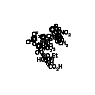 CCOC(=O)COC(=O)c1cc(Oc2ccc(C(F)(F)F)cc2Cl)ccc1[N+](=O)[O-].CCc1cccc(C)c1N(C(=O)CCl)C(C)COC.CS(=O)(=O)c1ccc(C(=O)C2C(=O)CCCC2=O)c([N+](=O)[O-])c1.O=C(O)CNCP(=O)(O)O